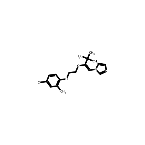 Cc1cc(Cl)ccc1OCCOC(=Cn1ccnc1)C(C)(C)C